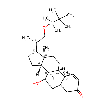 C[C@H](CO[Si](C)(C)C(C)(C)C)[C@H]1CC[C@H]2[C@@H]3C(O)CC4CC(=O)C=C[C@]4(C)[C@H]3CC[C@]12C